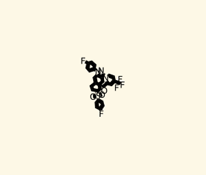 O=C(c1cc(C(F)(F)F)ccn1)[C@]12Cc3cnn(-c4ccc(F)cc4)c3C=C1CC[C@H](S(=O)(=O)c1ccc(F)cc1)C2